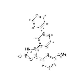 COc1cccc([C@@H]2OC(=O)N[C@H]2c2ccnc(-c3ccccc3)c2)c1